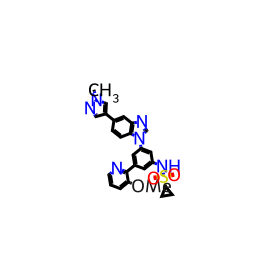 COc1cccnc1-c1cc(NS(=O)(=O)C2CC2)cc(-n2cnc3cc(-c4cnn(C)c4)ccc32)c1